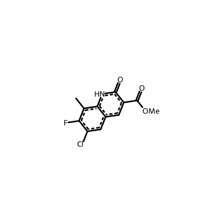 COC(=O)c1cc2cc(Cl)c(F)c(C)c2[nH]c1=O